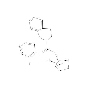 O=C(C[C@@H]1CN2CCC1CC2)N1CCc2ccccc2[C@H]1c1cccc(F)c1